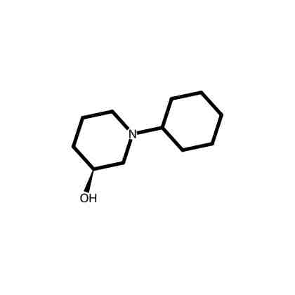 O[C@H]1CCCN(C2CCCCC2)C1